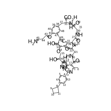 Cc1nc(-c2ccc(C3CCC3)cc2)nc(N)c1C(=O)NCC(=O)N(C)[C@@H]1C(=O)N[C@@H](C)C(=O)N[C@H](C(=O)O)Cc2ccc(OCCCN)c(c2)-c2cc1cc(OC[C@H](O)CN)c2O